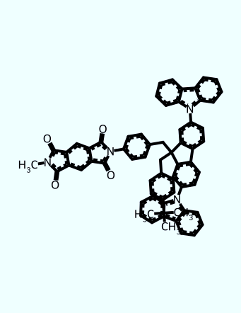 Cn1c(=O)c2cc3c(=O)n(-c4ccc(CC5(Cc6ccc(C(C)(C)C)cc6)c6cc(-n7c8ccccc8c8ccccc87)ccc6-c6ccc(-n7c8ccccc8c8ccccc87)cc65)cc4)c(=O)c3cc2c1=O